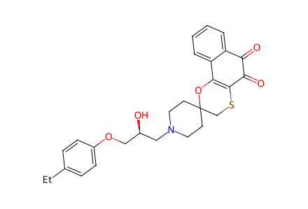 CCc1ccc(OC[C@@H](O)CN2CCC3(CC2)CSC2=C(O3)c3ccccc3C(=O)C2=O)cc1